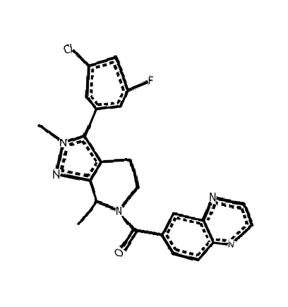 CC1c2nn(C)c(-c3cc(F)cc(Cl)c3)c2CCN1C(=O)c1ccc2nccnc2c1